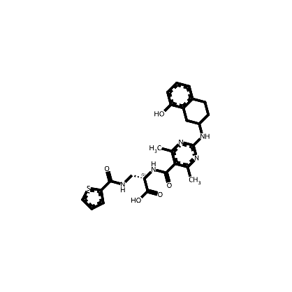 Cc1nc(NC2CCc3cccc(O)c3C2)nc(C)c1C(=O)N[C@@H](CNC(=O)c1cccs1)C(=O)O